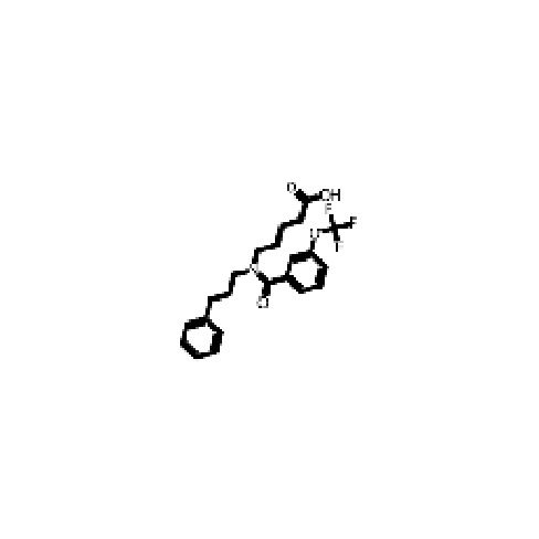 O=C(O)CCCCN(CCCc1ccccc1)C(=O)c1cccc(OC(F)(F)F)c1